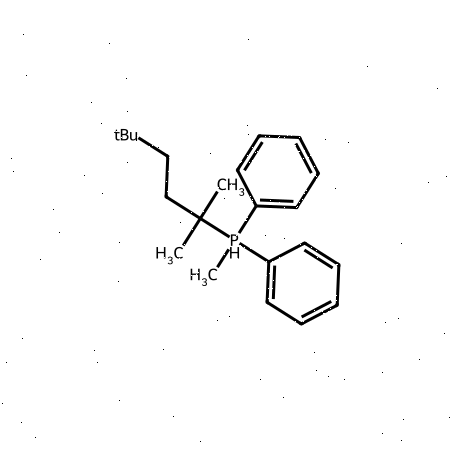 CC(C)(C)CCC(C)(C)[PH](C)(c1ccccc1)c1ccccc1